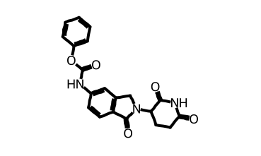 O=C1CCC(N2Cc3cc(NC(=O)Oc4ccccc4)ccc3C2=O)C(=O)N1